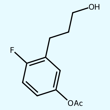 CC(=O)Oc1ccc(F)c(CCCO)c1